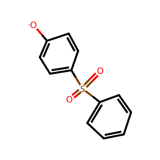 [O]c1ccc(S(=O)(=O)c2ccccc2)cc1